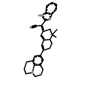 CC1(C)C/C(=C(/C#N)c2nc3ccccc3[nH]2)C=C2C=C(c3cc4c5c(c3)CCCN5CCC4)CCC21